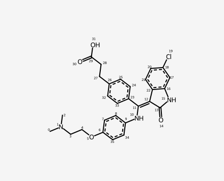 CN(C)CCOc1ccc(N/C(=C2\C(=O)Nc3cc(Cl)ccc32)c2ccc(CCC(=O)O)cc2)cc1